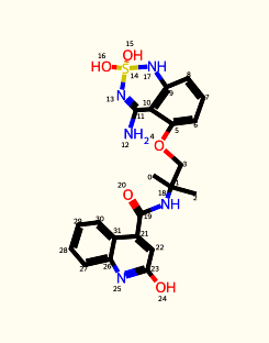 CC(C)(COc1cccc2c1C(N)=NS(O)(O)N2)NC(=O)c1cc(O)nc2ccccc12